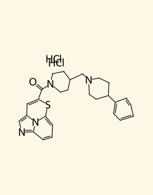 Cl.Cl.O=C(C1=Cc2cnc3cccc(n23)S1)N1CCC(CN2CCC(c3ccccc3)CC2)CC1